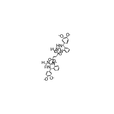 COc1ccc(C2NC(N)=[N+](OC(=O)/C=C/C(=O)O[N+]3=C(N)NC(c4ccc(OC)c(OC)c4)c4ccccc43)c3ccccc32)cc1OC